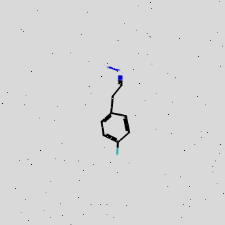 N/N=C\Cc1ccc(F)cc1